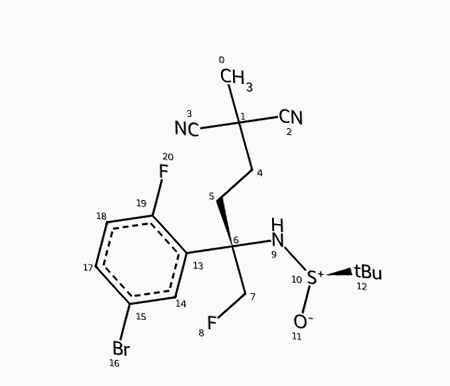 CC(C#N)(C#N)CC[C@](CF)(N[S@+]([O-])C(C)(C)C)c1cc(Br)ccc1F